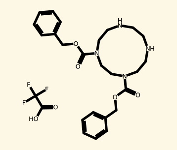 O=C(O)C(F)(F)F.O=C(OCc1ccccc1)N1CCNCCNCCN(C(=O)OCc2ccccc2)CC1